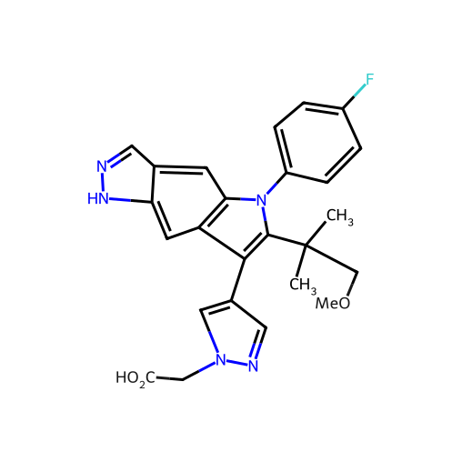 COCC(C)(C)c1c(-c2cnn(CC(=O)O)c2)c2cc3[nH]ncc3cc2n1-c1ccc(F)cc1